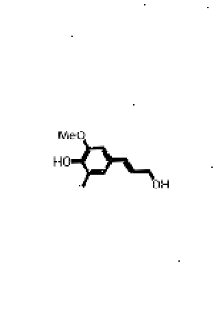 COc1cc(/C=C/CO)cc(C)c1O